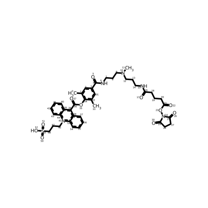 Cc1cc(C(=O)NCCCN(C)CCCNC(=O)CCCC(=O)ON2C(=O)CCC2=O)cc(C)c1OC(=O)c1c2ccccc2[n+](CCCS(=O)(=O)O)c2ccccc12